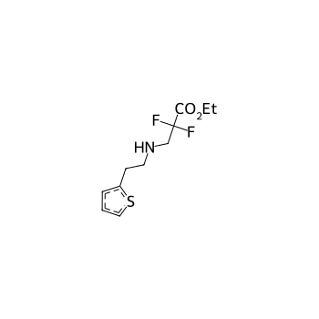 CCOC(=O)C(F)(F)CNCCc1cccs1